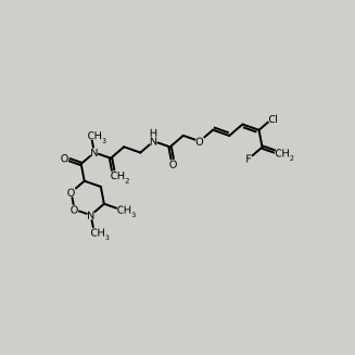 C=C(F)/C(Cl)=C\C=C\OCC(=O)NCCC(=C)N(C)C(=O)C1CC(C)N(C)OO1